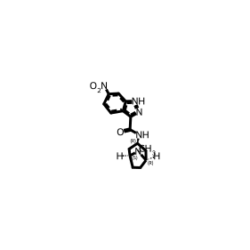 CN1[C@@H]2CC[C@H]1C[C@@H](NC(=O)c1n[nH]c3cc([N+](=O)[O-])ccc13)C2